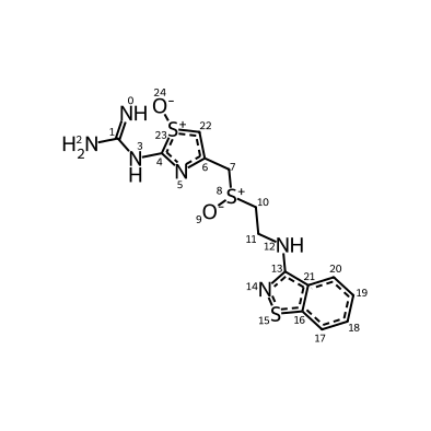 N=C(N)Nc1nc(C[S+]([O-])CCNc2nsc3ccccc23)c[s+]1[O-]